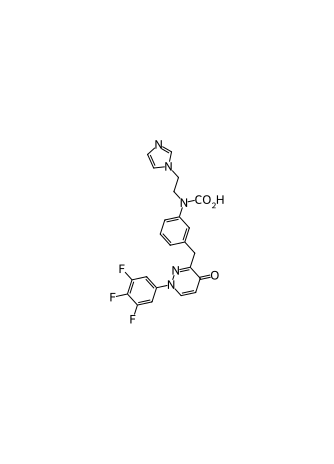 O=C(O)N(CCn1ccnc1)c1cccc(Cc2nn(-c3cc(F)c(F)c(F)c3)ccc2=O)c1